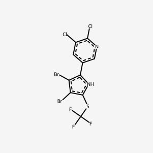 FC(F)(F)Sc1[nH]c(-c2cnc(Cl)c(Cl)c2)c(Br)c1Br